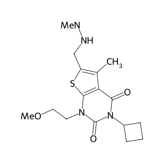 CNNCc1sc2c(c1C)c(=O)n(C1CCC1)c(=O)n2CCOC